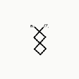 CCC(C)C1(C(F)(F)F)CC2(CCC2)C1